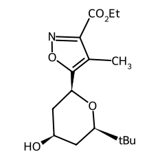 CCOC(=O)c1noc([C@@H]2C[C@H](O)C[C@H](C(C)(C)C)O2)c1C